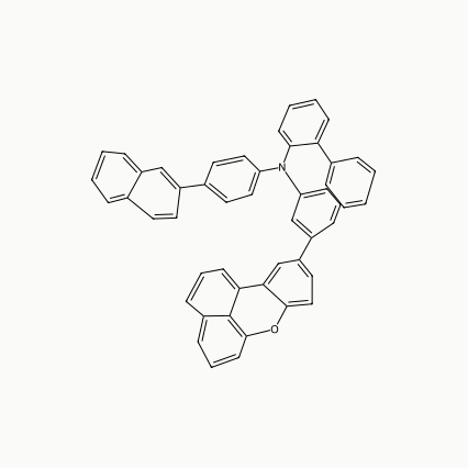 c1ccc(-c2ccccc2N(c2ccc(-c3ccc4ccccc4c3)cc2)c2cccc(-c3ccc4c(c3)-c3cccc5cccc(c35)O4)c2)cc1